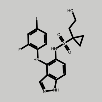 O=S(=O)(Nc1ccc2[nH]ncc2c1Nc1ccc(I)cc1F)C1(CCO)CC1